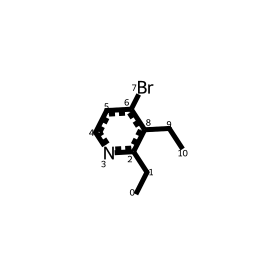 CCc1nccc(Br)c1CC